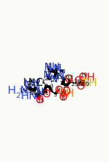 C=C[C@@H]1C[C@@H](CO[PH](=O)OC2C[C@H](n3cnc4c(N)ncnc43)O[C@@H]2COP(=O)(O)S)O[C@H]1n1c(=O)[nH]c2c(N)ncnc21